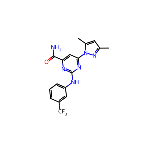 Cc1cc(C)n(-c2cc(C(N)=O)nc(Nc3cccc(C(F)(F)F)c3)n2)n1